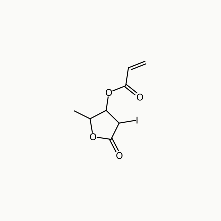 C=CC(=O)OC1C(C)OC(=O)C1I